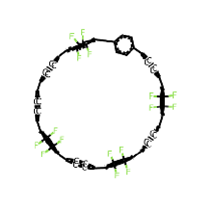 Fc1c(F)c2c(F)c(F)c1-c1ccc(cc1)-c1ccc(cc1)-c1c(F)c(F)c(c(F)c1F)-c1ccc(cc1)-c1c(F)c(F)c(c(F)c1F)-c1ccc(cc1)-c1c(F)c(F)c(c(F)c1F)-c1ccc(cc1)-c1ccc-2cc1